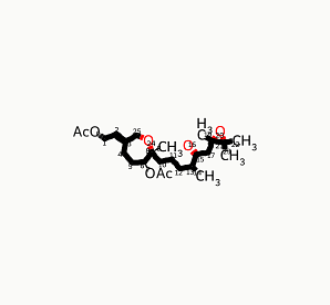 CC(=O)OC/C=C1\CC[C@@H](OC(C)=O)[C@](C)(CCCC(C)C(=O)CC2(C)OC2(C)C)OC1